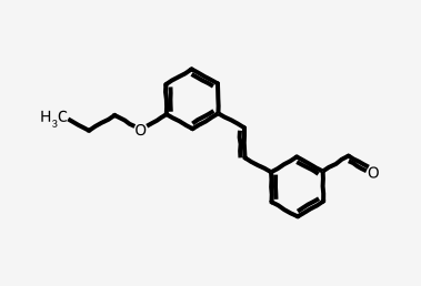 CCCOc1cccc(/C=C/c2cccc(C=O)c2)c1